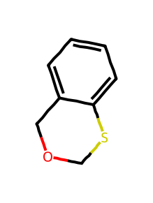 c1ccc2c(c1)COCS2